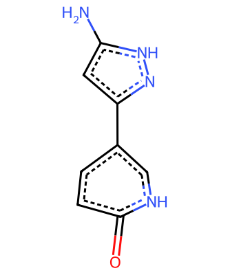 Nc1cc(-c2ccc(=O)[nH]c2)n[nH]1